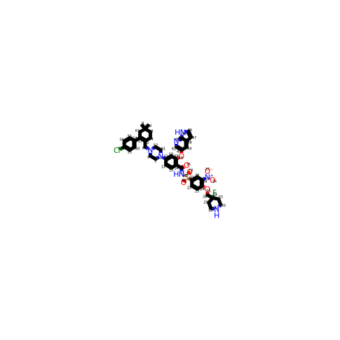 CC1(C)CCC(CN2CCN(c3ccc(C(=O)NS(=O)(=O)c4ccc(OCC5(F)CCNCC5)c([N+](=O)[O-])c4)c(Oc4cnc5[nH]ccc5c4)c3)CC2)=C(c2ccc(Cl)cc2)C1